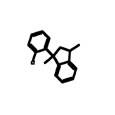 CC1CC(C)(c2ccccc2Cl)c2ccccc21